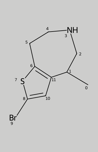 CC1CNCCc2sc(Br)cc21